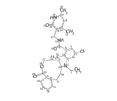 CCN(c1cc(Cl)cc(C(=O)NCc2c(C)cc(C)[nH]c2=O)c1C)C1CCCOC(=O)c2ccccc2CC1